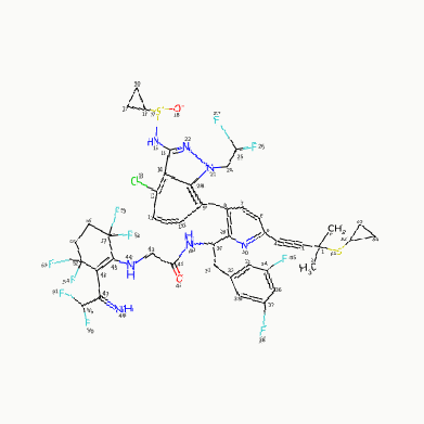 CC(C)(C#Cc1ccc(-c2ccc(Cl)c3c(N[S+]([O-])C4CC4)nn(CC(F)F)c23)c(C(Cc2cc(F)cc(F)c2)NC(=O)CNC2=C(C(=N)C(F)F)C(F)(F)CCC2(F)F)n1)SC1CC1